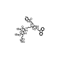 CC(C)(C)OC(=O)CC[C@H](NC(=O)N[C@@H](CCCCNC(=O)[C@H](CCCNC(=O)c1cnccn1)NC(=O)OCC1c2ccccc2-c2ccccc21)C(=O)OC(C)(C)C)C(=O)OC(C)(C)C